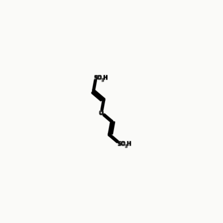 O=S(=O)(O)C=COC=CS(=O)(=O)O